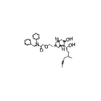 CC#CCC(C)CC=C(O)[C@@H]1[C@@H]2C[C@H](CCOCC(=O)N(Cc3ccccc3)c3ccccc3)C[C@@H]2C[C@H]1O